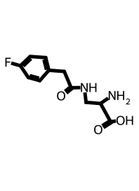 NC(CNC(=O)Cc1ccc(F)cc1)C(=O)O